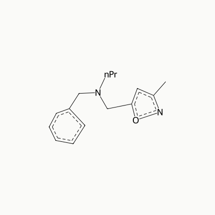 CCCN(Cc1ccccc1)Cc1cc(C)no1